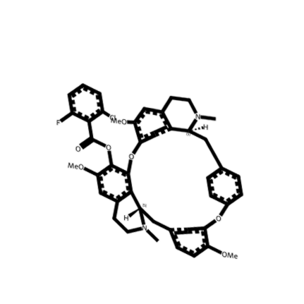 COc1ccc2cc1Oc1ccc(cc1)C[C@H]1c3cc(c(OC)cc3CCN1C)Oc1c(OC(=O)c3c(F)cccc3Cl)c(OC)cc3c1[C@H](C2)N(C)CC3